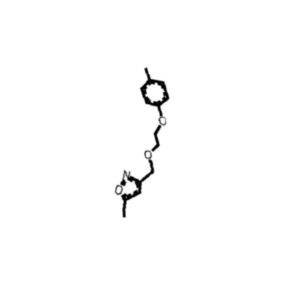 Cc1ccc(OCCOCc2cc(C)on2)cc1